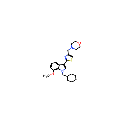 COc1cccc2c(-c3nc(CN4CCOCC4)cs3)cn(CC3CCCCC3)c12